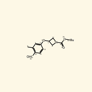 Cc1cc(OC2CN(C(=O)OC(C)(C)C)C2)ccc1C=O